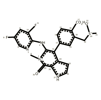 Cn1c(Nc2ncc(F)cc2F)c(-c2ccc(C(=O)O)c(C[S+](C)[O-])c2)c2cc[nH]c2c1=O